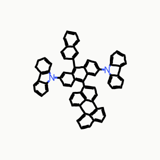 C1=Cc2c(c3ccccc3n2-c2ccc3c(-c4ccc5c6cccc7cccc(c8cccc4c85)c76)c4cc(-n5c6ccccc6c6ccccc65)ccc4c(-c4ccc5ccccc5c4)c3c2)CC1